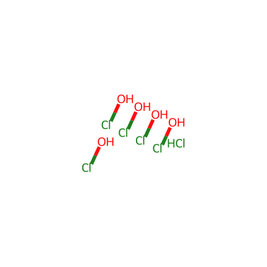 Cl.OCl.OCl.OCl.OCl.OCl